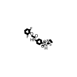 O=C(COc1c(F)cccc1F)Nc1ccc(S(=O)(=O)Nc2nccs2)cc1